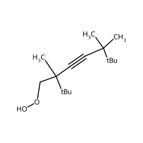 CC(C)(C)C(C)(C)C#CC(C)(COO)C(C)(C)C